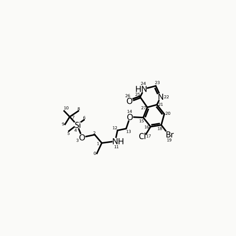 CC(CO[Si](C)(C)C(C)(C)C)NCCOc1c(Cl)c(Br)cc2nc[nH]c(=O)c12